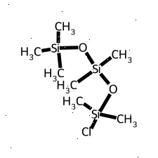 C[Si](C)(C)O[Si](C)(C)O[Si](C)(C)Cl